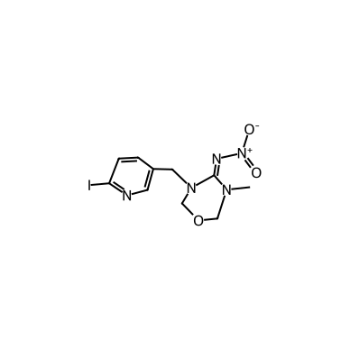 CN1COCN(Cc2ccc(I)nc2)C1=N[N+](=O)[O-]